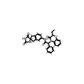 CCC1Oc2ccccc2N(C(C(=O)Nc2ccc3c(c2)CC2(C3)NC(=O)NC2=O)c2ccccc2)C1=O